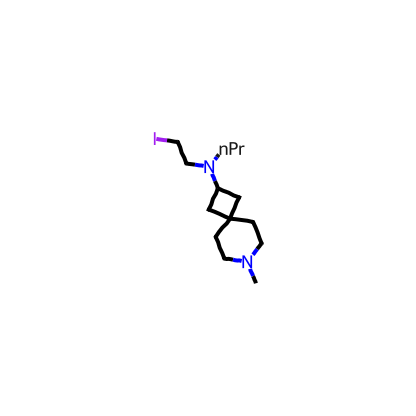 CCCN(CCI)C1CC2(CCN(C)CC2)C1